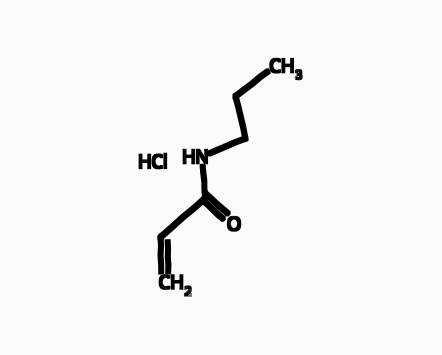 C=CC(=O)NCCC.Cl